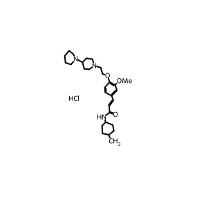 COc1cc(C=CC(=O)NC2CCC(C)CC2)ccc1OCCN1CCC(N2CCCCC2)CC1.Cl